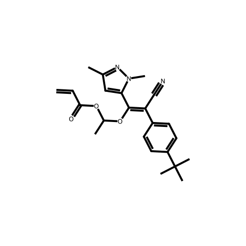 C=CC(=O)OC(C)O/C(=C(/C#N)c1ccc(C(C)(C)C)cc1)c1cc(C)nn1C